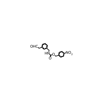 O=CCc1cccc(CNC(=O)OCc2ccc([N+](=O)[O-])cc2)c1